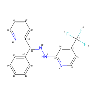 FC(F)(F)c1ccnc(N/N=C(\c2ccccc2)c2ccccn2)c1